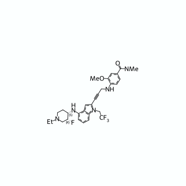 CCN1CC[C@H](Nc2cccc3c2cc(C#CCNc2ccc(C(=O)NC)cc2OC)n3CC(F)(F)F)[C@H](F)C1